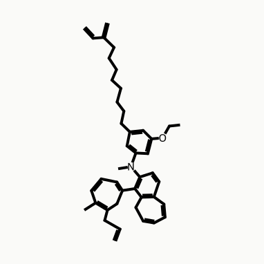 C=CCC1=C(C)C=CC=C(c2c(N(C)c3cc(CCCCCCCCC(=C)C=C)cc(OCC)c3)ccc3c2CC=CC=C3)C1